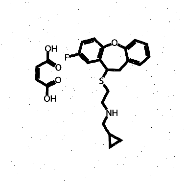 Fc1ccc2c(c1)C(SCCNCC1CC1)Cc1ccccc1O2.O=C(O)/C=C\C(=O)O